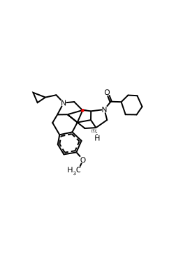 COc1ccc2c(c1)C13CCN(CC4CC4)C(C2)C12CCC1C3[C@@H](CN1C(=O)C1CCCCC1)C2